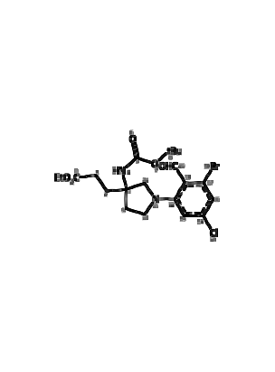 CCOC(=O)CCC1(NC(=O)OC(C)(C)C)CCN(c2cc(Cl)cc(Br)c2C=O)C1